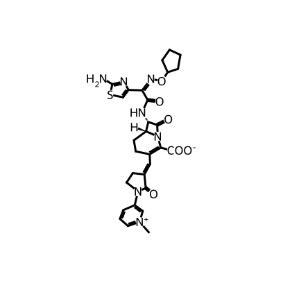 C[n+]1cccc(N2CCC(=CC3=C(C(=O)[O-])N4C(=O)[C@@H](NC(=O)/C(=N\OC5CCCC5)c5csc(N)n5)[C@H]4CC3)C2=O)c1